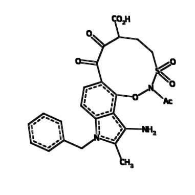 CC(=O)N1Oc2c(ccc3c2c(N)c(C)n3Cc2ccccc2)C(=O)C(=O)C(C(=O)O)CCS1(=O)=O